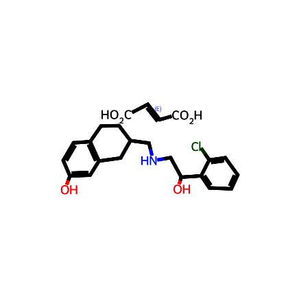 O=C(O)/C=C/C(=O)O.Oc1ccc2c(c1)CC(CNCC(O)c1ccccc1Cl)CC2